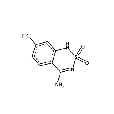 NC1=NS(=O)(=O)Nc2cc(C(F)(F)F)ccc21